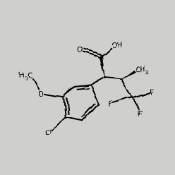 COc1cc([C@@H](C(=O)O)[C@@H](C)C(F)(F)F)ccc1Cl